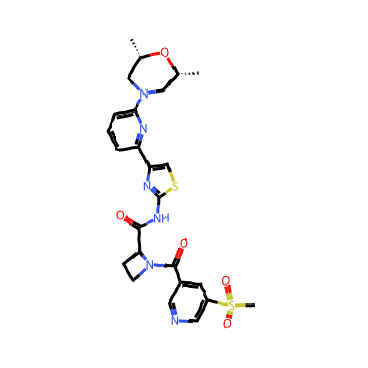 C[C@@H]1CN(c2cccc(-c3csc(NC(=O)C4CCN4C(=O)c4cncc(S(C)(=O)=O)c4)n3)n2)C[C@H](C)O1